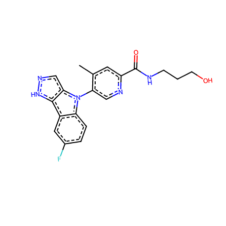 Cc1cc(C(=O)NCCCO)ncc1-n1c2ccc(F)cc2c2[nH]ncc21